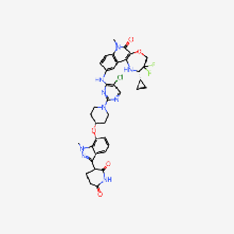 Cn1nc(C2CCC(=O)NC2=O)c2cccc(OC3CCN(c4ncc(Cl)c(Nc5ccc6c(c5)c5c(c(=O)n6C)OCC(F)(F)[C@H](C6CC6)N5)n4)CC3)c21